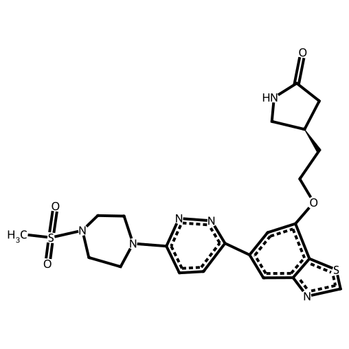 CS(=O)(=O)N1CCN(c2ccc(-c3cc(OCC[C@H]4CNC(=O)C4)c4scnc4c3)nn2)CC1